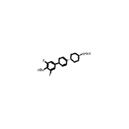 CCCCCC[C@H]1CC[C@H](C2=CCC(c3cc(F)c(CCCC)c(F)c3)C=C2)CC1